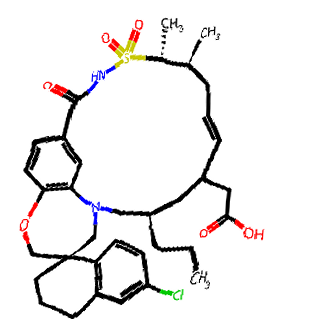 CCC[C@@H]1CC(CC(=O)O)/C=C/C[C@H](C)[C@@H](C)S(=O)(=O)NC(=O)c2ccc3c(c2)N(C1)C[C@@]1(CCCc2cc(Cl)ccc21)CO3